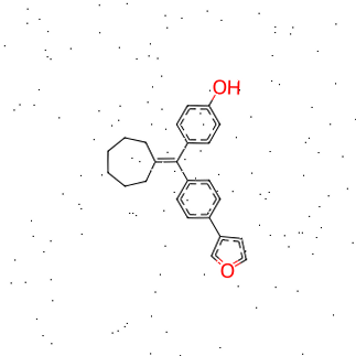 Oc1ccc(C(=C2CCCCCC2)c2ccc(-c3ccoc3)cc2)cc1